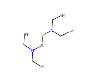 CC(C)CN(CC(C)C)SSN(CC(C)C)CC(C)C